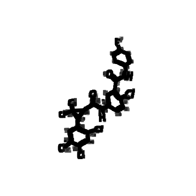 O=C(Nc1ccc(F)cc1)c1cc(NC(=O)C2C(c3cc(Cl)c(Cl)cc3Cl)C2(Cl)Cl)ccc1Cl